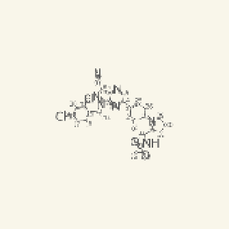 C[C@@H]1CC(c2cnc3c(C#N)nn([C@H](C)c4ccc(Cl)cc4Cl)c3n2)=CCC1N1CCCC1CNS(C)(=O)=O